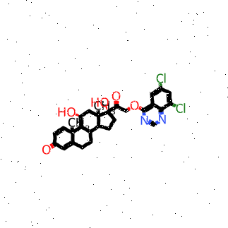 CC12C=CC(=O)C=C1CCC1C2[C@@H](O)CC2(C)C1CC[C@]2(O)C(=O)COc1ncnc2c(Cl)cc(Cl)cc12